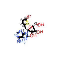 Nc1ncnc2c1ncn2[C@]1(Cc2ccc(Br)s2)O[C@H](CO)[C@@H](O)[C@H]1O